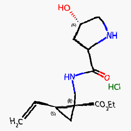 C=C[C@@H]1C[C@]1(NC(=O)C1C[C@H](O)CN1)C(=O)OCC.Cl